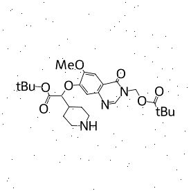 COc1cc2c(=O)n(COC(=O)C(C)(C)C)cnc2cc1OC(C(=O)OC(C)(C)C)C1CCNCC1